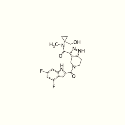 CN(C(=O)c1n[nH]c2c1CN(C(=O)c1cc3c(F)cc(F)cc3[nH]1)CC2)C1(CO)CC1